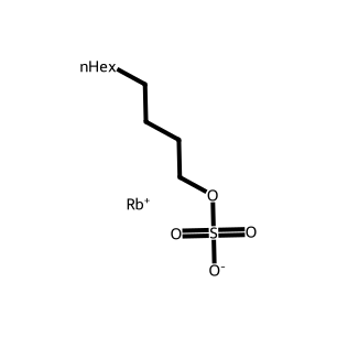 CCCCCCCCCCOS(=O)(=O)[O-].[Rb+]